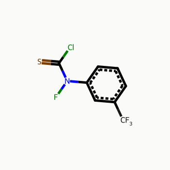 FN(C(=S)Cl)c1cccc(C(F)(F)F)c1